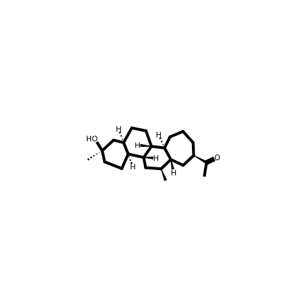 CC(=O)[C@@H]1CCC[C@@H]2[C@H]3CC[C@@H]4C[C@](C)(O)CC[C@@H]4[C@H]3C[C@H](C)[C@H]2C1